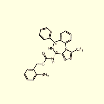 Cc1nnc2n1-c1ccccc1[C@H](c1ccccc1)N[C@H]2NC(=O)OCc1ccccc1N